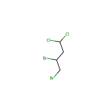 Cl[C](Cl)CC(Br)CBr